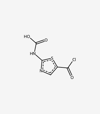 O=C(O)Nc1ncc(C(=O)Cl)s1